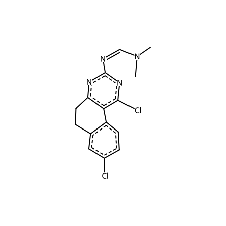 CN(C)/C=N\c1nc(Cl)c2c(n1)CCc1cc(Cl)ccc1-2